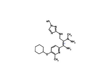 CCCn1cnc(NC/C(=C(/N)c2ccc(OC3CCCCC3)c(C)n2)N(C)N)n1